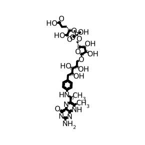 Cc1[nH]c2nc(N)nc(=O)c-2nc1[C@@H](C)Nc1ccc(C[C@H](O)[C@H](O)[C@H](O)CO[C@H]2O[C@H](COP(=O)(O)O[C@@H](CCC(=O)O)C(=O)O)[C@@H](O)[C@H]2O)cc1